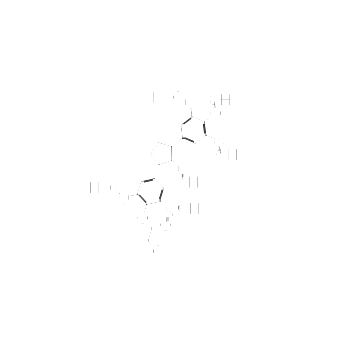 CCCOc1c(OC)cc([C@@H]2CC[C@@H](c3cc(OC)c(OC)c(OC)c3)C2OC)cc1[S+](C)[O-]